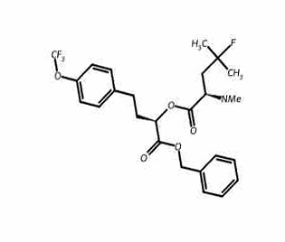 CN[C@H](CC(C)(C)F)C(=O)O[C@H](CCc1ccc(OC(F)(F)F)cc1)C(=O)OCc1ccccc1